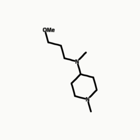 COCCCN(C)C1CCN(C)CC1